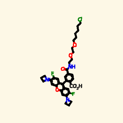 O=C(NCCOCCOCCCCCCCl)c1ccc(C(=O)O)c(-c2c3cc(F)c(=[N+]4CCC4)cc-3oc3cc(N4CCC4)c(F)cc23)c1